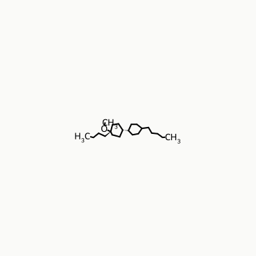 CCCCCC1CCC([C@H]2CC[C@@](CCCC)(OC)CC2)CC1